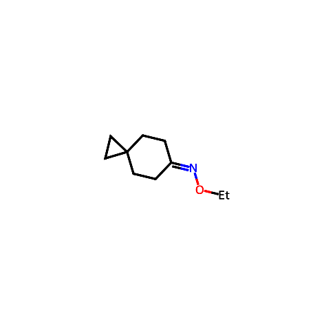 CCON=C1CCC2(CC1)CC2